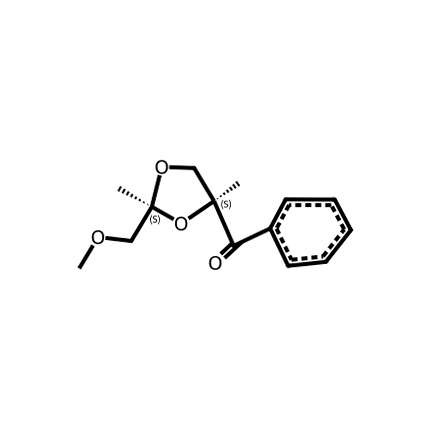 COC[C@@]1(C)OC[C@@](C)(C(=O)c2ccccc2)O1